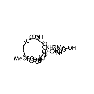 CO[C@H]1C[C@@H]2CCC[C@@](O)(O2)C(=O)C(=O)N2CCCC[C@H]2C(=O)O[C@H]([C@H](N)C[C@@H]2CC[C@H](n3cc(COCCO)nn3)[C@H](OC)C2)CC(=O)[C@H](C)/C=C(\C)C(O)[C@@H](O)C(=O)[C@H](C)C[C@H](C)/C=C/C=C/C=C/1C